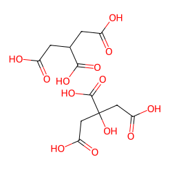 O=C(O)CC(CC(=O)O)C(=O)O.O=C(O)CC(O)(CC(=O)O)C(=O)O